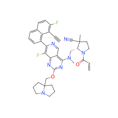 C#Cc1c(F)ccc2cccc(-c3ncc4c(N(C)C[C@H]5N(C(=O)C=C)CCC5(C)C#N)nc(OCC56CCCN5CCC6)nc4c3F)c12